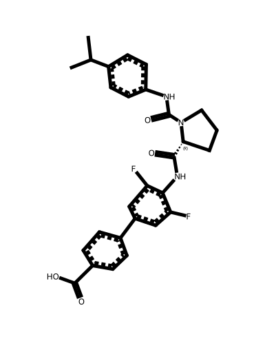 CC(C)c1ccc(NC(=O)N2CCC[C@@H]2C(=O)Nc2c(F)cc(-c3ccc(C(=O)O)cc3)cc2F)cc1